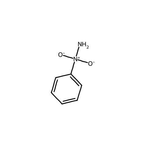 N[N+]([O-])([O-])c1ccccc1